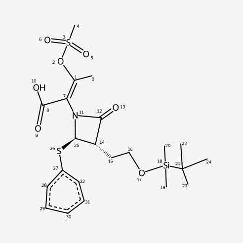 C/C(OS(C)(=O)=O)=C(/C(=O)O)N1C(=O)[C@H](CCO[Si](C)(C)C(C)(C)C)[C@H]1Sc1ccccc1